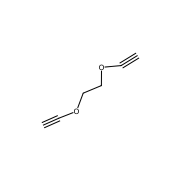 C#COCCOC#C